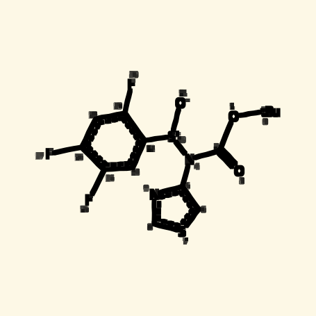 CC(C)(C)OC(=O)N(c1cscn1)[S+]([O-])c1cc(F)c(F)cc1F